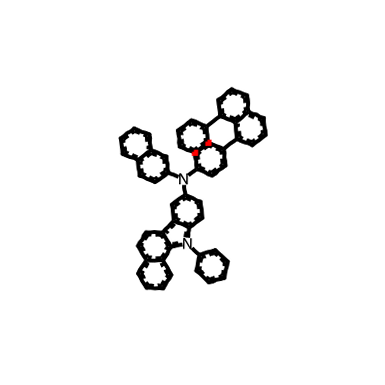 c1ccc(-c2cccc3cccc(-c4ccc(N(c5ccc6ccccc6c5)c5ccc6c(c5)c5ccc7ccccc7c5n6-c5ccccc5)cc4)c23)cc1